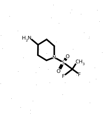 CC(F)(F)S(=O)(=O)N1CCC(N)CC1